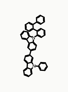 c1ccc(-c2ccccc2-c2ccccc2-n2c3ccccc3c3cc(-c4ccc5c6ccccc6n(-c6ccccc6)c5c4)ccc32)cc1